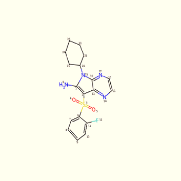 Nc1c(S(=O)(=O)c2ccccc2F)c2nccnc2n1C1CCCCC1